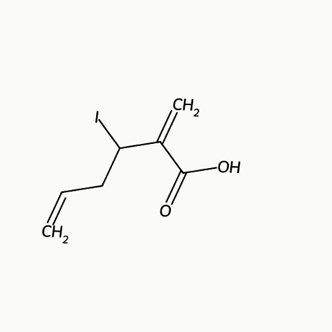 C=CCC(I)C(=C)C(=O)O